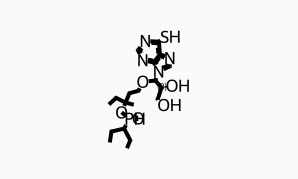 CCC(CC)[PH](=O)OC(C)(CC)CCOC([C@H](O)CO)n1cnc2c(S)ncnc21